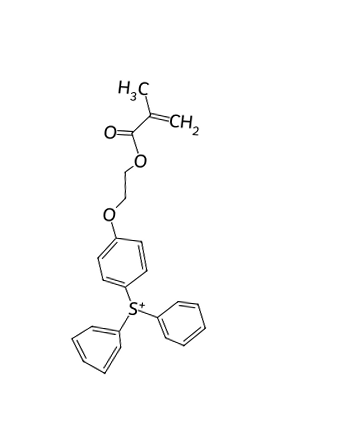 C=C(C)C(=O)OCCOc1ccc([S+](c2ccccc2)c2ccccc2)cc1